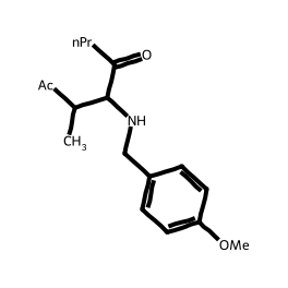 CCCC(=O)C(NCc1ccc(OC)cc1)C(C)C(C)=O